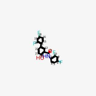 O=C(Nc1ccc(F)cc1F)c1cc(-c2ccc(F)cc2F)ccc1O